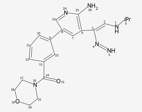 CC(C)N/C=C(\N=N)c1cc(-c2cccc(C(=O)N3CCOCC3)c2)cnc1N